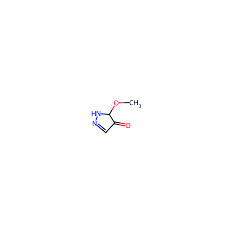 COC1NN=CC1=O